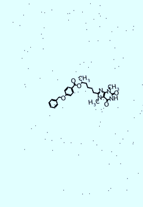 C[C@H](CCCCc1nc2c(c(=O)[nH]c(=O)n2C)n1C)OC(=O)c1ccc(OCc2ccccc2)cc1